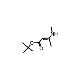 CNC(C)=CC(=O)OC(C)(C)C